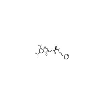 CC(CCCc1cccnc1)NC(=O)C=Cn1cnc2c(C(C)C)cc(C(C)C)cc2c1=O